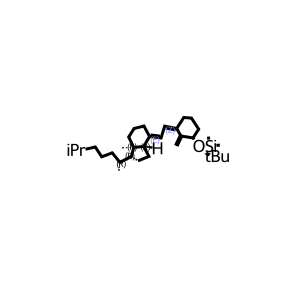 C=C1/C(=C\C=C2/CCC[C@]3(C)[C@@H]([C@H](C)CCCC(C)C)CC[C@@H]23)CCCC1O[Si](C)(C)C(C)(C)C